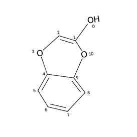 OC1=COc2ccccc2O1